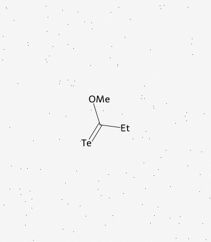 CCC(=[Te])OC